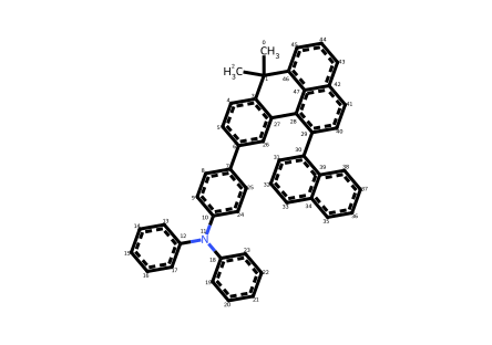 CC1(C)c2ccc(-c3ccc(N(c4ccccc4)c4ccccc4)cc3)cc2-c2c(-c3cccc4ccccc34)ccc3cccc1c23